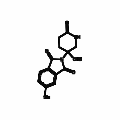 CC(C)(C)c1ccc2c(c1)C(=O)N(C1(C=O)CCC(=O)NC1)C2=O